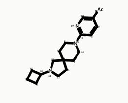 CC(=O)c1ccc(N2CCC3(CC2)CCN(C2CCC2)C3)nc1